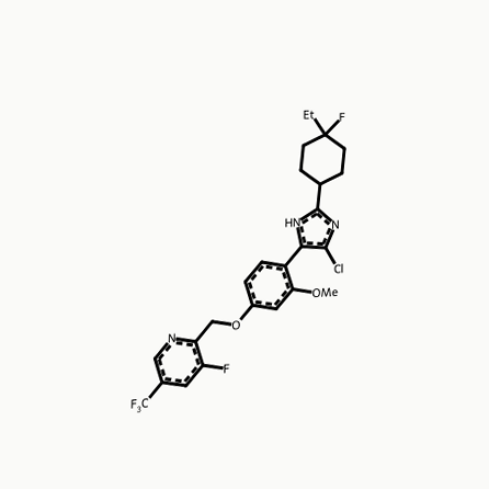 CCC1(F)CCC(c2nc(Cl)c(-c3ccc(OCc4ncc(C(F)(F)F)cc4F)cc3OC)[nH]2)CC1